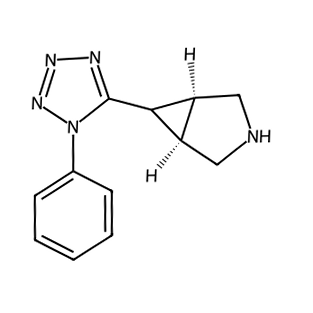 c1ccc(-n2nnnc2C2[C@H]3CNC[C@@H]23)cc1